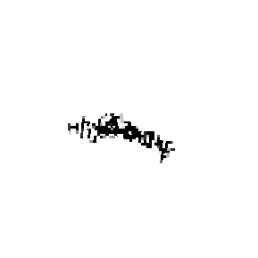 CCCC1(C)OB(c2ccc(N3CCN(CCC(F)(F)F)CC3)cc2)OC1(C)C